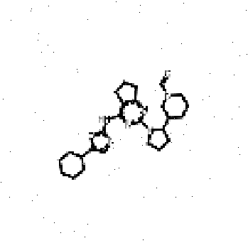 O=CN1CCCC(C2CCCN2c2nc3c(c(Nc4ncc(C5CCCCC5)o4)n2)CCC3)C1